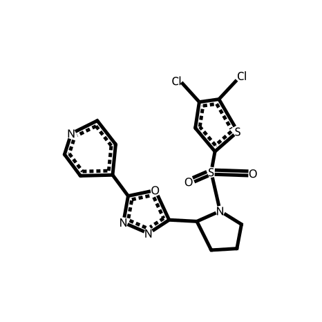 O=S(=O)(c1cc(Cl)c(Cl)s1)N1CCCC1c1nnc(-c2ccncc2)o1